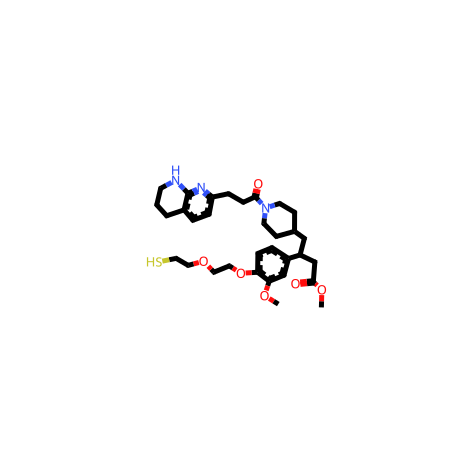 COC(=O)CC(CC1CCN(C(=O)CCc2ccc3c(n2)NCCC3)CC1)c1ccc(OCCOCCS)c(OC)c1